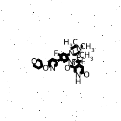 CC1CN(c2cc(F)c(-c3ccc(OC4CCOCC4)nc3)cc2NC(=O)c2c[nH]c(=O)cc2C(F)(F)F)CC(C)N1C